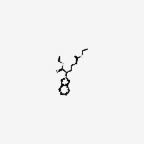 CCOC(=O)CCCC(C(=O)OCC)n1cc2ccccc2c1